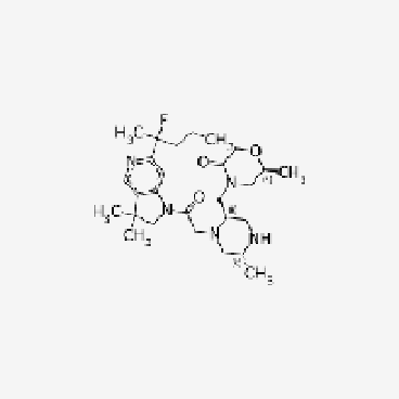 CCCC(C)(F)c1cc2c(cn1)C(C)(C)CN2C(=O)CN1C[C@@H](C)NC[C@@H]1CN1C[C@H](C)OCC1=O